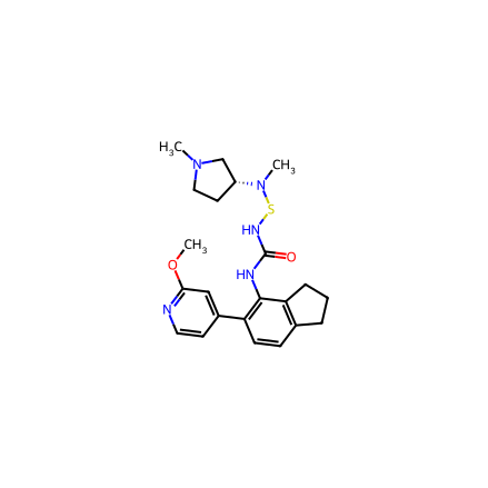 COc1cc(-c2ccc3c(c2NC(=O)NSN(C)[C@@H]2CCN(C)C2)CCC3)ccn1